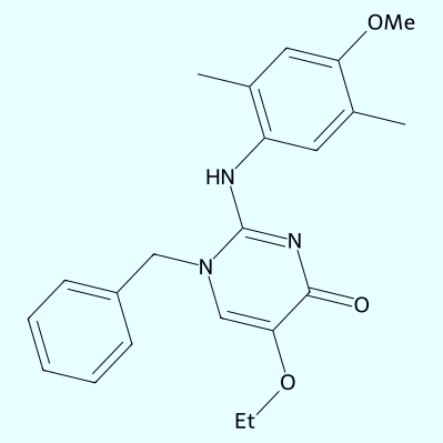 CCOc1cn(Cc2ccccc2)c(Nc2cc(C)c(OC)cc2C)nc1=O